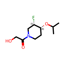 CC(C)O[C@@H]1CCN(C(=O)CO)C[C@@H]1F